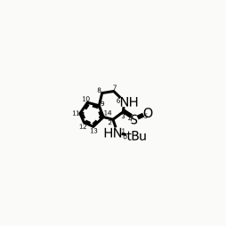 CC(C)(C)NC1C(=S=O)NCCc2ccccc21